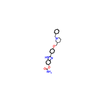 NC(=O)Oc1ccc2[nH]c(-c3ccc(OCC4CCCN(Cc5ccccc5)C4)cc3)nc2c1